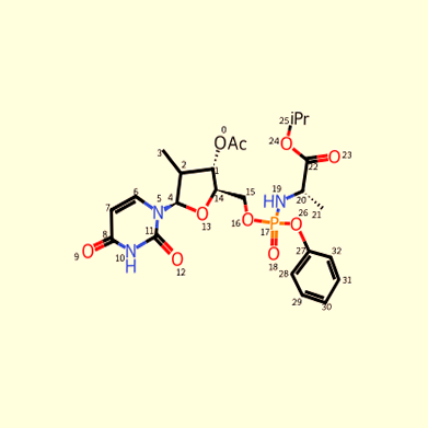 CC(=O)O[C@H]1C(C)[C@H](n2ccc(=O)[nH]c2=O)O[C@@H]1COP(=O)(N[C@@H](C)C(=O)OC(C)C)Oc1ccccc1